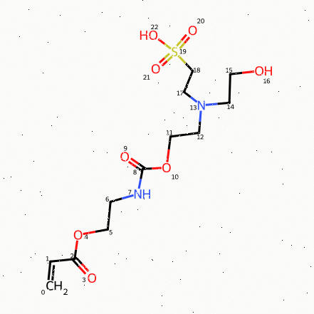 C=CC(=O)OCCNC(=O)OCCN(CCO)CCS(=O)(=O)O